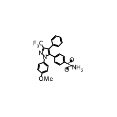 COc1ccc(-n2nc(C(F)(F)F)c(-c3ccccc3)c2-c2ccc(S(N)(=O)=O)cc2)cc1